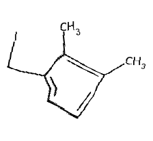 Cc1cccc(CI)c1C